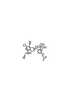 N#CCNc1nc(Cl)c(C#N)c2c1CCN(Cc1ccc(OCC(F)F)nc1C(O)(O)O)C2